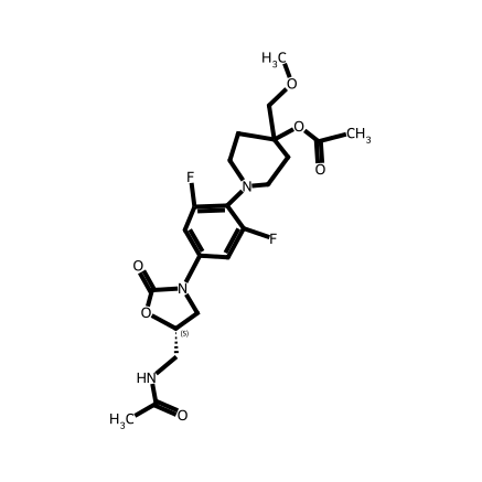 COCC1(OC(C)=O)CCN(c2c(F)cc(N3C[C@H](CNC(C)=O)OC3=O)cc2F)CC1